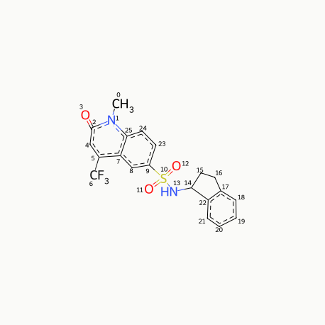 Cn1c(=O)cc(C(F)(F)F)c2cc(S(=O)(=O)NC3CCc4ccccc43)ccc21